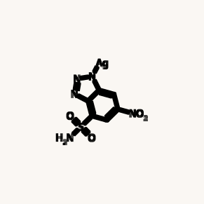 NS(=O)(=O)c1cc([N+](=O)[O-])cc2c1nn[n]2[Ag]